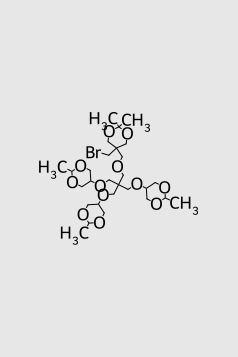 CC1OCC(OCC(COCC2(CBr)COC(C)(C)OC2)(COC2COC(C)OC2)COC2COC(C)OC2)CO1